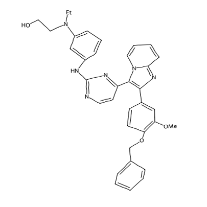 CCN(CCO)c1cccc(Nc2nccc(-c3c(-c4ccc(OCc5ccccc5)c(OC)c4)nc4ccccn34)n2)c1